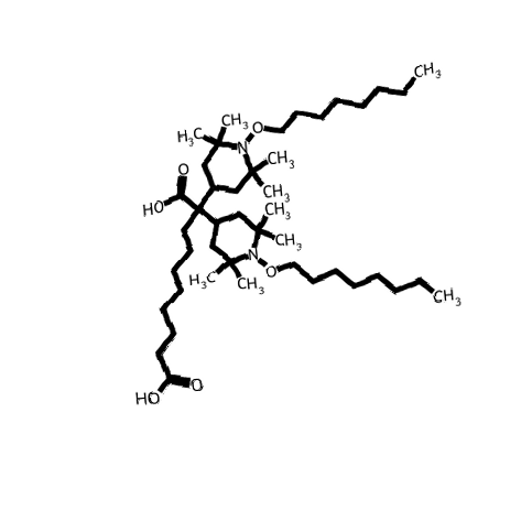 CCCCCCCCON1C(C)(C)CC(C(CCCCCCCC(=O)O)(C(=O)O)C2CC(C)(C)N(OCCCCCCCC)C(C)(C)C2)CC1(C)C